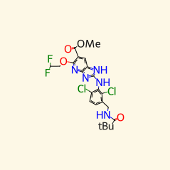 COC(=O)c1cc2[nH]c(Nc3c(Cl)ccc(CNC(=O)C(C)(C)C)c3Cl)nc2nc1OCC(F)F